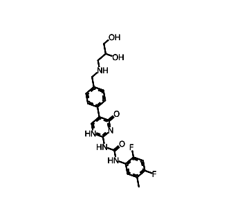 Cc1cc(NC(=O)Nc2nc(=O)c(-c3ccc(CNCC(O)CO)cc3)c[nH]2)c(F)cc1F